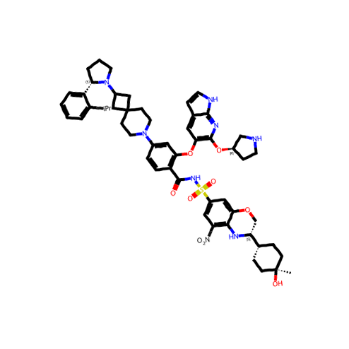 CC(C)c1ccccc1[C@@H]1CCCN1C1CC2(CCN(c3ccc(C(=O)NS(=O)(=O)c4cc5c(c([N+](=O)[O-])c4)N[C@@H]([C@H]4CC[C@](C)(O)CC4)CO5)c(Oc4cc5cc[nH]c5nc4O[C@@H]4CCNC4)c3)CC2)C1